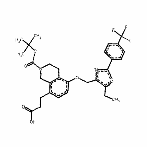 CCc1sc(-c2ccc(C(F)(F)F)cc2)nc1COc1ccc(CCC(=O)O)c2c1CCN(C(=O)OC(C)(C)C)C2